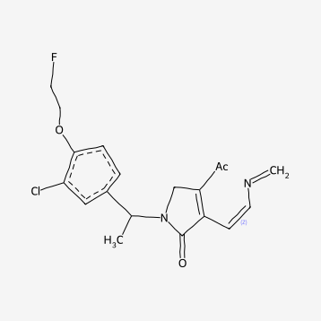 C=N/C=C\C1=C(C(C)=O)CN(C(C)c2ccc(OCCF)c(Cl)c2)C1=O